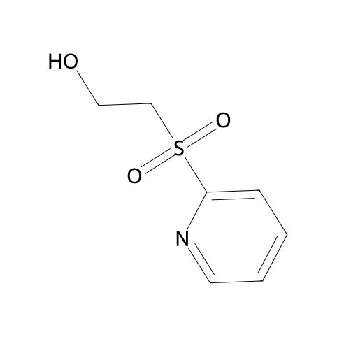 O=S(=O)(CCO)c1ccccn1